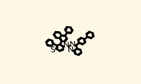 c1ccc(-c2ccc(-c3nc(-n4c5cc(-c6ccccc6)c6ccccc6c5c5c6c(ccc54)sc4ccccc46)nc4ccccc34)cc2)cc1